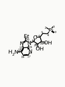 C=P(C)(C)CCC1OC(n2c(CC)nc3c(N)ccnc32)[C@H](O)[C@@H]1O